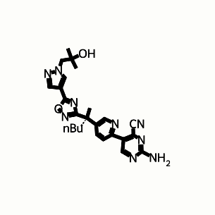 CCCC[C@](C)(c1ccc(-c2cnc(N)nc2C#N)nc1)c1noc(-c2cnn(CC(C)(C)O)c2)n1